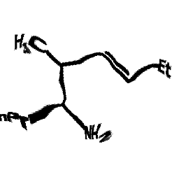 CCC=CC(C)[C@@H](N)CCC